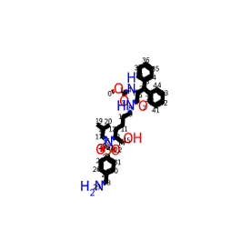 COC(=O)N[C@H](C(=O)NCCCCC(CO)N(CC(C)C)S(=O)(=O)c1ccc(CN)cc1)C(c1ccccc1)c1ccccc1